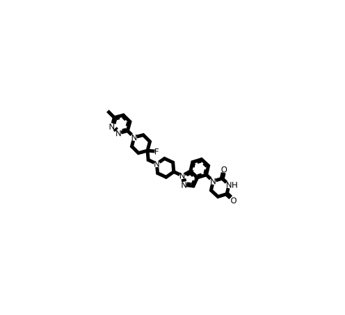 Cc1ccc(N2CCC(F)(CN3CCC(n4ncc5c(N6CCC(=O)NC6=O)cccc54)CC3)CC2)nn1